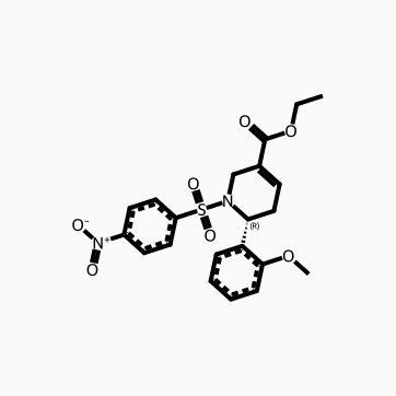 CCOC(=O)C1=CC[C@H](c2ccccc2OC)N(S(=O)(=O)c2ccc([N+](=O)[O-])cc2)C1